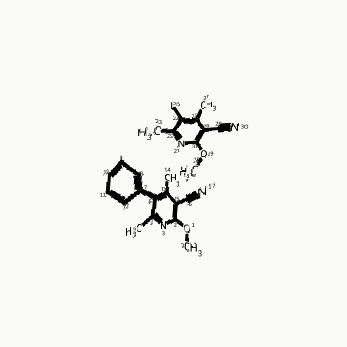 COc1nc(C)c(-c2ccccc2)c(C)c1C#N.COc1nc(C)c(I)c(C)c1C#N